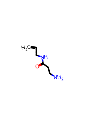 C=CCNC(=O)CCN